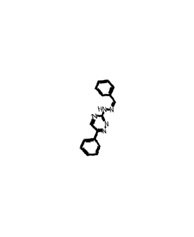 C(=N/Nc1ncc(-c2ccccc2)nn1)/c1ccccc1